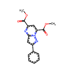 COC(=O)c1cc(C(=O)OC)n2nc(-c3ccccc3)cc2n1